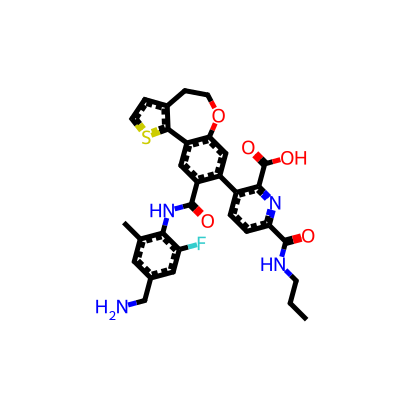 CCCNC(=O)c1ccc(-c2cc3c(cc2C(=O)Nc2c(C)cc(CN)cc2F)-c2sccc2CCO3)c(C(=O)O)n1